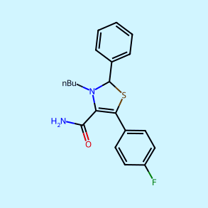 CCCCN1C(C(N)=O)=C(c2ccc(F)cc2)SC1c1ccccc1